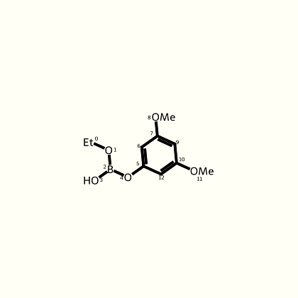 CCOB(O)Oc1cc(OC)cc(OC)c1